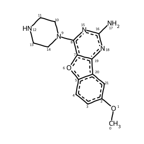 COc1ccc2oc3c(N4CCNCC4)nc(N)nc3c2c1